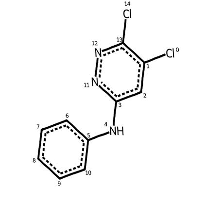 Clc1cc(Nc2ccccc2)nnc1Cl